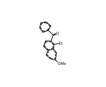 CCc1c(C(=O)c2ccccc2)ccc2ccc(OC)cc12